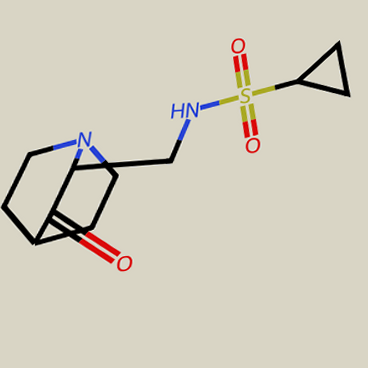 O=C1C2CCN(CC2)C1CNS(=O)(=O)C1CC1